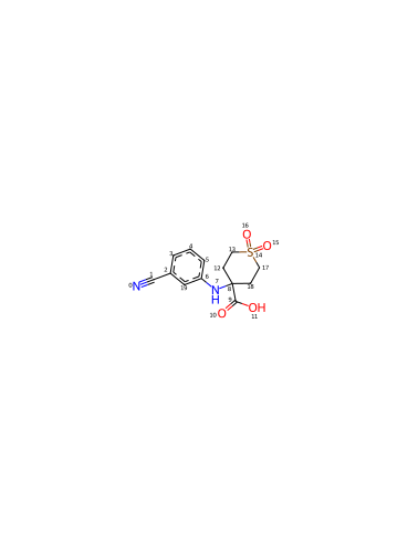 N#Cc1cccc(NC2(C(=O)O)CCS(=O)(=O)CC2)c1